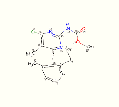 Cc1cccc(CC(C)C)c1-c1nc(NC(=O)OC(C)(C)C)nc(Cl)c1C